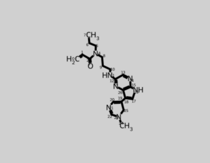 C=CC(=O)N(CCC)CCCNc1cnc2[nH]cc(C3=CN=CN(C)C3)c2n1